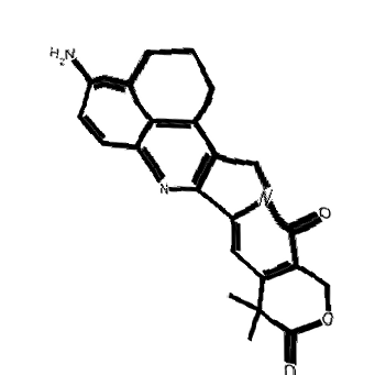 CC1(C)C(=O)OCc2c1cc1n(c2=O)Cc2c-1nc1ccc(N)c3c1c2CCC3